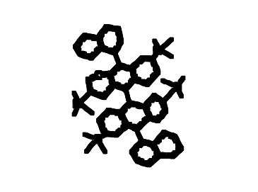 C[Si](C)(C)c1ccc2c(-c3c4ccc([Si](C)(C)C)cc4c(-c4cccc5ccccc45)c4ccc([Si](C)(C)C)cc34)c3cc([Si](C)(C)C)ccc3c(-c3cccc4ccccc34)c2c1